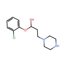 OC(CCN1CCNCC1)Oc1ccccc1Cl